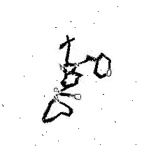 CC(C)(C)c1nc2cc(S(=O)(=O)N3CCCCC3)ccc2n1CC1CCOCC1